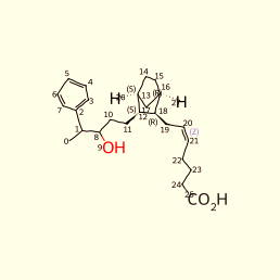 CC(c1ccccc1)C(O)CC[C@H]1[C@H]2CC[C@H](C2)[C@H]1C/C=C\CCCC(=O)O